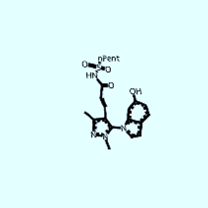 CCCCCS(=O)(=O)NC(=O)/C=C/c1c(C)nn(C)c1-n1ccc2ccc(O)cc21